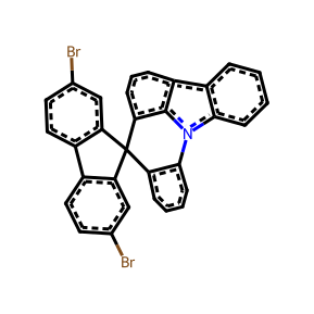 Brc1ccc2c(c1)C1(c3cc(Br)ccc3-2)c2ccccc2-n2c3ccccc3c3cccc1c32